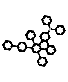 c1ccc(-c2ccc(-c3cc(-c4ccccc4)c4c5ccccc5c5cc(N(c6ccccc6)c6ccccc6)ccc5c4c3-c3ccccc3)cc2)cc1